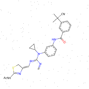 C=N/C(=N\C=C1/CSC(NC(C)=O)=N1)N(c1cccc(NC(=O)c2cccc(C(C)(C)C#N)c2)c1)C1CC1